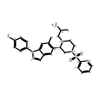 Cc1cc2c(cnn2-c2ccc(F)cc2)cc1[C@@H]1CN(S(=O)(=O)c2ccccn2)CCN1CC(C)C(F)(F)F